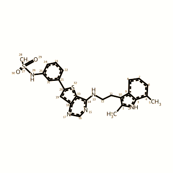 Cc1[nH]c2c(C)cccc2c1CCNc1ncnc2cc(-c3cccc(NS(C)(=O)=O)c3)sc12